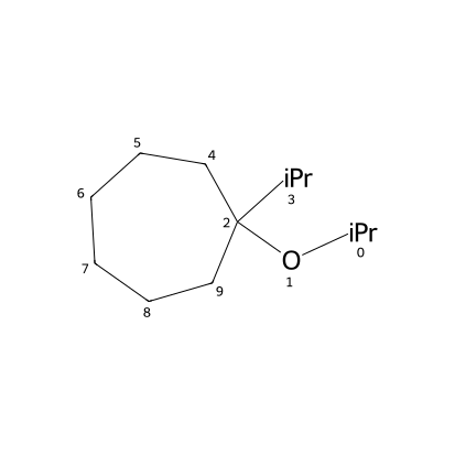 CC(C)OC1(C(C)C)CCCCCC1